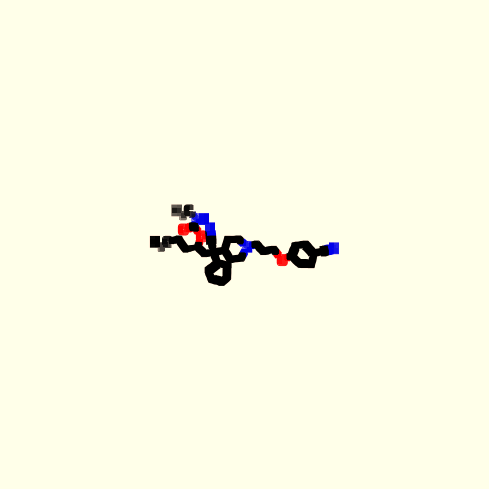 CCC[C@H](CC(C#N)(c1ccccc1)C1CCN(CCCOc2ccc(C#N)cc2)CC1)OC(=O)NC